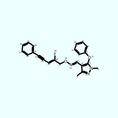 Cc1nn(C)c(Oc2ccccc2)c1C=NOCC(F)=CC#Cc1ccccc1